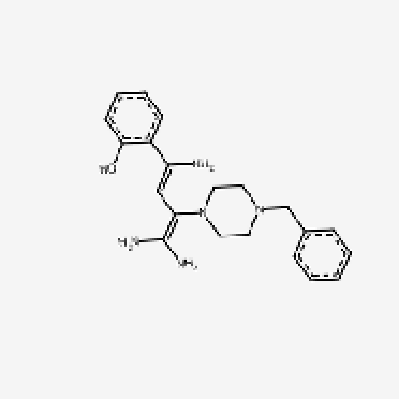 NC(N)=C(/C=C(\N)c1ccccc1O)N1CCN(Cc2ccccc2)CC1